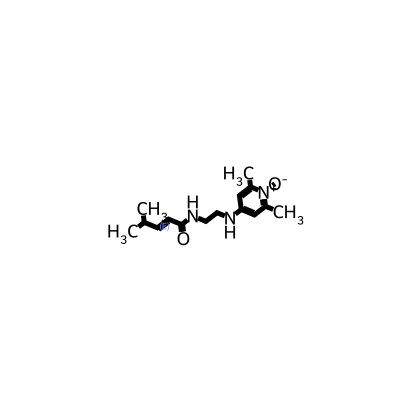 Cc1cc(NCCNC(=O)/C=C/C(C)C)cc(C)[n+]1[O-]